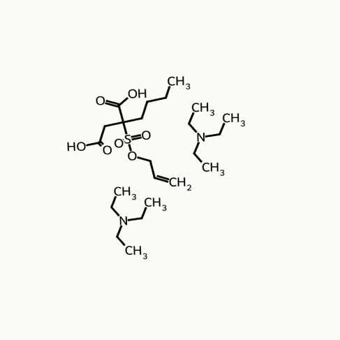 C=CCOS(=O)(=O)C(CCCC)(CC(=O)O)C(=O)O.CCN(CC)CC.CCN(CC)CC